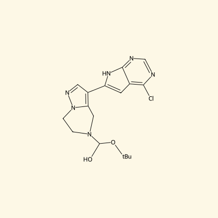 CC(C)(C)OC(O)N1CCn2ncc(-c3cc4c(Cl)ncnc4[nH]3)c2C1